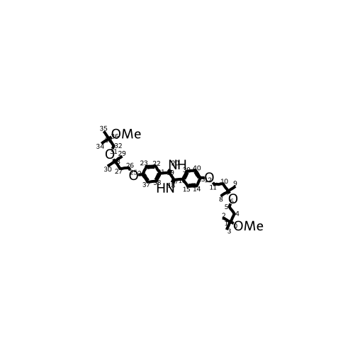 COC(C)(C)CCOC(C)(C)CCOc1ccc(C(=N)C(=N)c2ccc(OCCC(C)(C)OCC(C)(C)OC)cc2)cc1